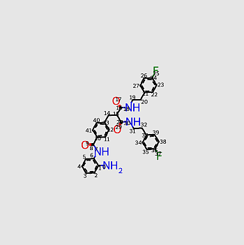 Nc1ccccc1NC(=O)c1ccc(CC(C(=O)NCCc2ccc(F)cc2)C(=O)NCCc2ccc(F)cc2)cc1